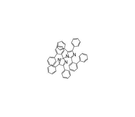 c1ccc(C2=NC(c3ccccc3-c3ccccc3)(n3c(-c4ccccc4-c4ccccc4)nc(-c4ccccc4)c3-c3ccccc3)N=C2c2ccccc2)cc1